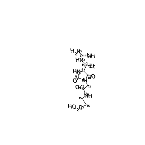 CC[C@H](NC(=N)N)C1NC(=O)N(CC(=O)NCCC(=O)O)C1=O